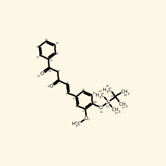 COc1cc(C=CC(=O)CC(=O)c2ccccc2)ccc1O[Si](C)(C)C(C)(C)C